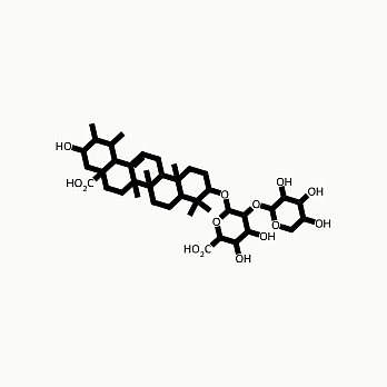 CC1C(O)CC2(C(=O)O)CCC3(C)C(=CCC4C5(C)CCC(OC6OC(C(=O)O)C(O)C(O)C6OC6OCC(O)C(O)C6O)C(C)(C)C5CCC43C)C2C1C